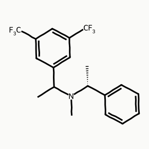 CC(c1cc(C(F)(F)F)cc(C(F)(F)F)c1)N(C)[C@H](C)c1ccccc1